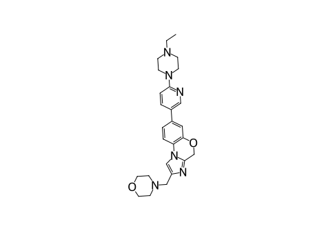 CCN1CCN(c2ccc(-c3ccc4c(c3)OCc3nc(CN5CCOCC5)cn3-4)cn2)CC1